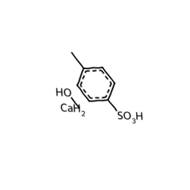 CO.Cc1ccc(S(=O)(=O)O)cc1.[CaH2]